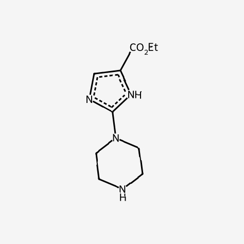 CCOC(=O)c1cnc(N2CCNCC2)[nH]1